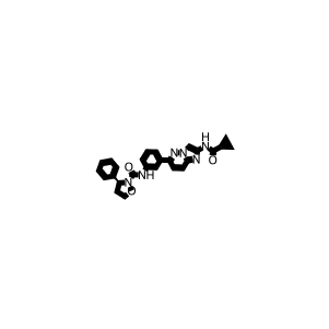 O=C(Nc1cn2nc(-c3cccc(NC(=O)N4OCC[C@H]4c4ccccc4)c3)ccc2n1)C1CC1